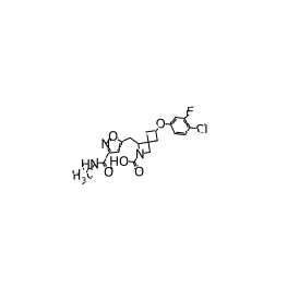 CNC(=O)c1cc(CC2N(C(=O)O)CC23CC(Oc2ccc(Cl)c(F)c2)C3)on1